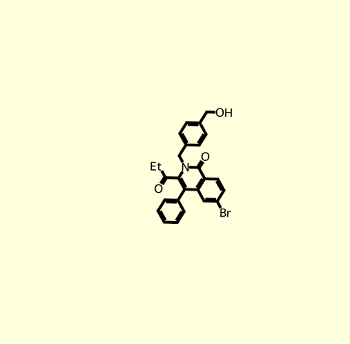 CCC(=O)c1c(-c2ccccc2)c2cc(Br)ccc2c(=O)n1Cc1ccc(CO)cc1